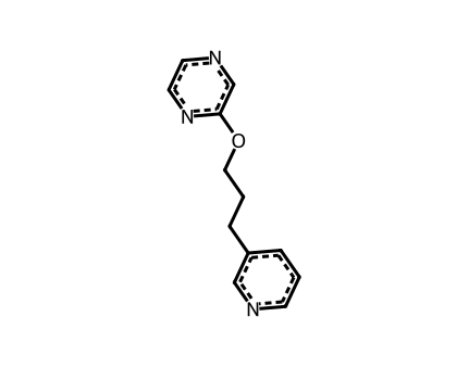 c1cncc(CCCOc2cnccn2)c1